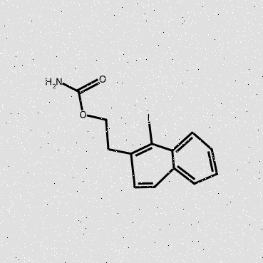 NC(=O)OCCc1ccc2ccccc2c1I